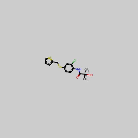 C[C@@](O)(C(=O)Nc1ccc(SCc2cccs2)cc1Cl)C(F)(F)F